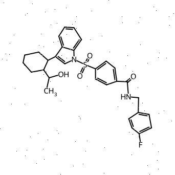 CC(O)C1CCCCC1c1cn(S(=O)(=O)c2ccc(C(=O)NCc3ccc(F)cc3)cc2)c2ccccc12